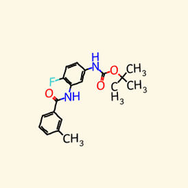 Cc1cccc(C(=O)Nc2cc(NC(=O)OC(C)(C)C)ccc2F)c1